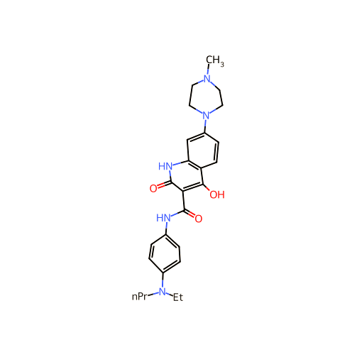 CCCN(CC)c1ccc(NC(=O)c2c(O)c3ccc(N4CCN(C)CC4)cc3[nH]c2=O)cc1